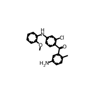 COc1ccccc1Nc1ccc(C(=O)c2cc(N)ccc2C)c(Cl)c1